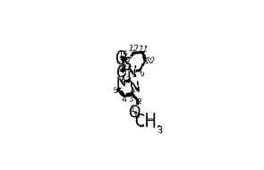 COCc1ccnc(N2CCCCS2(=O)=O)n1